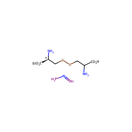 CCOC(=O)[C@@H](N)CSSCC(N)C(=O)O.P=NP